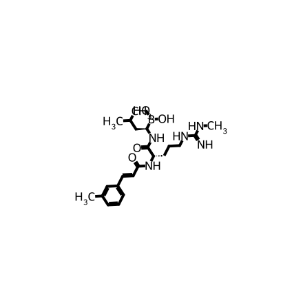 CNC(=N)NCCC[C@H](NC(=O)/C=C/c1cccc(C)c1)C(=O)N[C@@H](CC(C)C)B(O)O